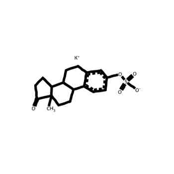 CC12CCC3c4ccc(OS(=O)(=O)[O-])cc4CCC3C1CCC2=O.[K+]